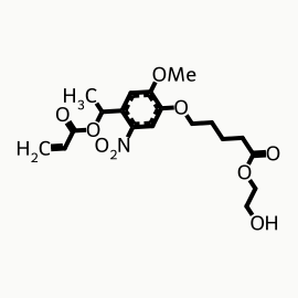 C=CC(=O)OC(C)c1cc(OC)c(OCCCCC(=O)OCCO)cc1[N+](=O)[O-]